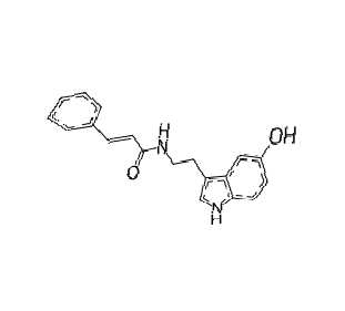 O=C(C=Cc1ccccc1)NCCc1c[nH]c2ccc(O)cc12